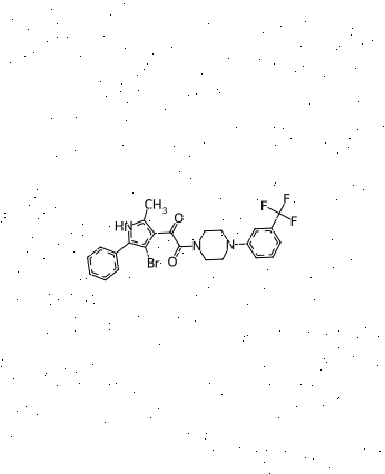 Cc1[nH]c(-c2ccccc2)c(Br)c1C(=O)C(=O)N1CCN(c2cccc(C(F)(F)F)c2)CC1